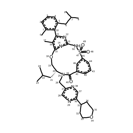 Cc1cccc(CC(C)C)c1-c1nc2nc(c1C)OC[C@@H](CC(C)C)N(Cc1cnc(C3CCOCC3)cn1)C(=O)c1cccc(c1)S(=O)(=O)N2